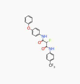 O=C(Nc1ccc(Oc2ccccc2)cc1)C(F)C(=O)Nc1ccc(C(F)(F)F)cc1